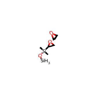 C1CO1.C[Si](C)(O[SiH3])C1CO1